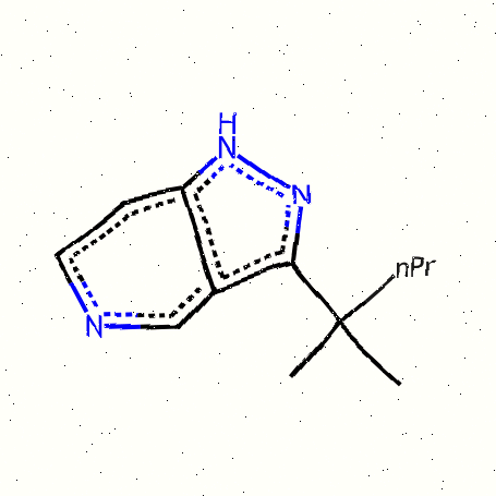 CCCC(C)(C)c1n[nH]c2ccncc12